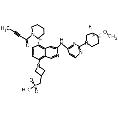 CC#CC(=O)N1CCCC[C@@H]1c1ccc(N2CC(CS(C)(=O)=O)C2)c2cnc(Nc3ccnc(N4CC[C@@H](OC)[C@@H](F)C4)n3)cc12